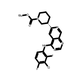 CC(C)(C)OC(=O)N1CCC[C@H](c2cc3c(Nc4ccc(F)c(Cl)c4F)ncnc3cn2)C1